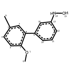 COc1ccc(C)cc1-c1cccc(NO)c1